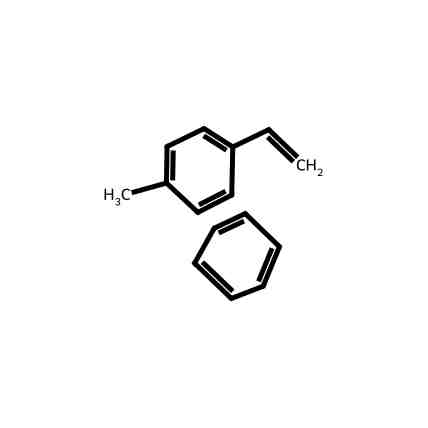 C=Cc1ccc(C)cc1.c1ccccc1